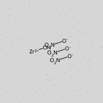 O=[N+]([O-])[O-].O=[N+]([O-])[O-].O=[N+]([O-])[O-].[OH][Zr+3]